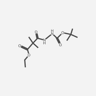 CCOC(=O)C(C)(C)C(=O)NNC(=O)OC(C)(C)C